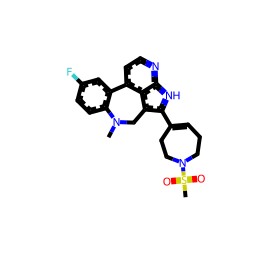 CN1Cc2c(C3=CCCN(S(C)(=O)=O)CC3)[nH]c3nccc(c23)-c2cc(F)ccc21